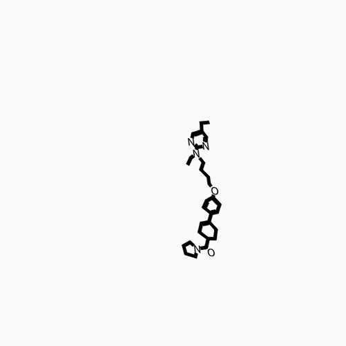 CCc1cnc(N(CC)CCCCOc2ccc(C3=CCC(C(=O)N4CCCC4)CC3)cc2)nc1